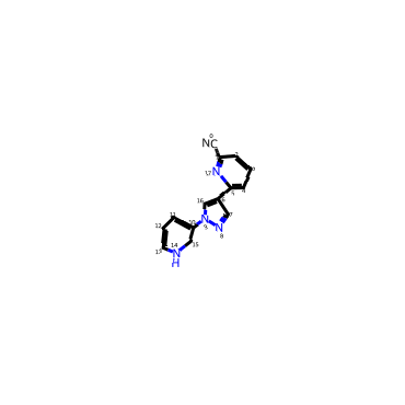 N#Cc1cccc(-c2cnn(C3=CC=CNC3)c2)n1